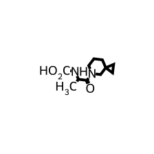 CC(NC(=O)O)C(=O)N1CCCC2(CC2)C1